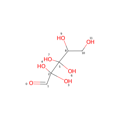 O=CC(O)(O)C(O)(O)C(O)CO